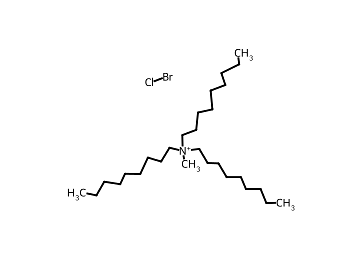 CCCCCCCCC[N+](C)(CCCCCCCCC)CCCCCCCCC.ClBr